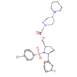 O=C(OC[C@H]1CCC(c2cccc(F)c2)N1S(=O)(=O)c1ccc(Cl)cc1)N1CCC(N2CCCCC2)CC1